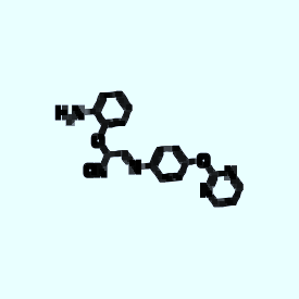 Nc1ccccc1OC(C=Nc1ccc(Oc2ncccn2)cc1)N=O